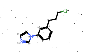 ClCCCc1cccc(-n2[c]ncc2)c1